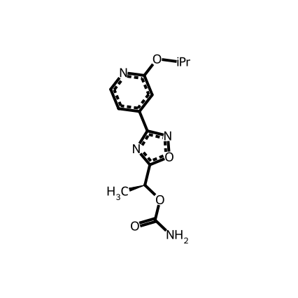 CC(C)Oc1cc(-c2noc([C@H](C)OC(N)=O)n2)ccn1